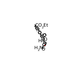 CCOC(=O)C(C)(C)N1CCN(c2ccc(N3CCN(C(=O)NC4C5CC6CC4CC(C(N)=O)(C6)C5)c4ccccc43)cc2)CC1